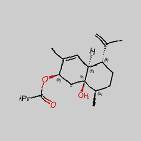 C=C(C)[C@@H]1CC[C@@H](C)[C@]2(O)[C][C@@H](OC(=O)C(C)C)C(C)=C[C@@H]12